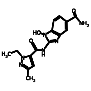 CCn1nc(C)cc1C(=O)Nc1nc2cc(C(N)=O)ccc2n1O